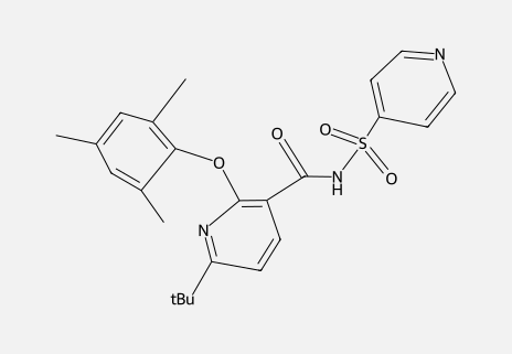 Cc1cc(C)c(Oc2nc(C(C)(C)C)ccc2C(=O)NS(=O)(=O)c2ccncc2)c(C)c1